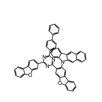 c1ccc(-c2ccc(-c3nc(-c4ccc5c(c4)oc4ccccc45)nc(-c4cc5oc6ccccc6c5cc4-n4c5ccccc5c5cc6ccccc6cc54)n3)cc2)cc1